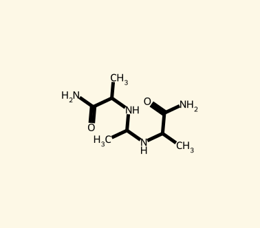 CC(NC(C)C(N)=O)NC(C)C(N)=O